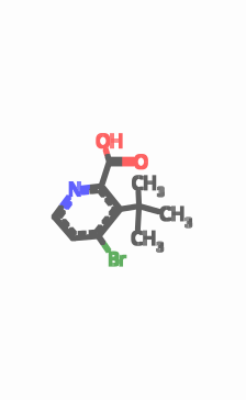 CC(C)(C)c1c(Br)ccnc1C(=O)O